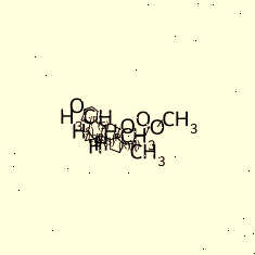 CCOC(=O)CC[C@@H](C)[C@H]1CC[C@H]2[C@@H]3[C@@H]4C[C@@H]4C4=CC(=O)CC[C@]4(C)[C@H]3CC(=O)[C@]12C